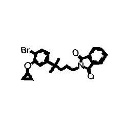 CC(C)(CCCN1C(=O)c2ccccc2C1=O)c1ccc(Br)c(OC2CC2)c1